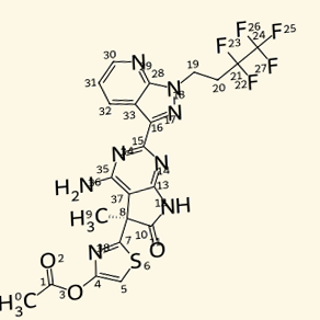 CC(=O)Oc1csc([C@]2(C)C(=O)Nc3nc(-c4nn(CCC(F)(F)C(F)(F)F)c5ncccc45)nc(N)c32)n1